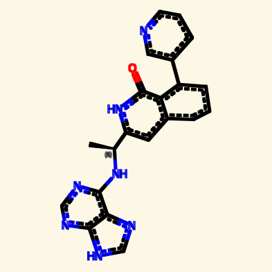 C[C@H](Nc1ncnc2[nH]cnc12)c1cc2cccc(-c3cccnc3)c2c(=O)[nH]1